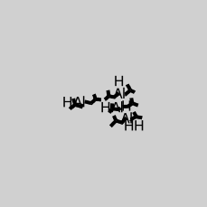 CC(C)[CH2][AlH][CH2]C(C)C.CC(C)[CH2][AlH][CH2]C(C)C.CC(C)[CH2][AlH][CH2]C(C)C.CC(C)[CH2][AlH][CH2]C(C)C.[HH]